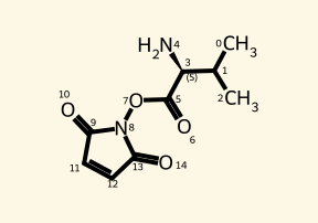 CC(C)[C@H](N)C(=O)ON1C(=O)C=CC1=O